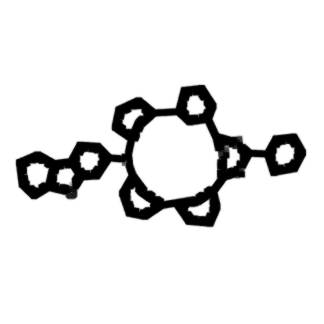 c1ccc(-c2nc3nc(n2)-c2cccc(c2)-c2cccc(c2)N(c2ccc4c(c2)oc2ccccc24)c2cccc(c2)-c2cccc-3c2)cc1